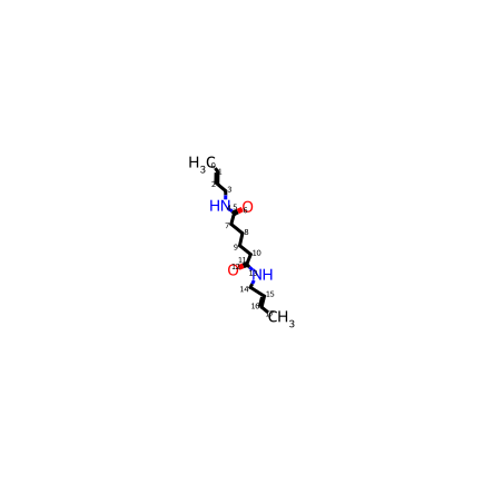 CC=CCNC(=O)CCCCC(=O)NCC=CC